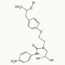 CCCC(CCC)CN(CCOc1ccc(CC(OCC)C(=O)O)cc1)C(=O)Nc1ccc([N+](=O)[O-])cc1